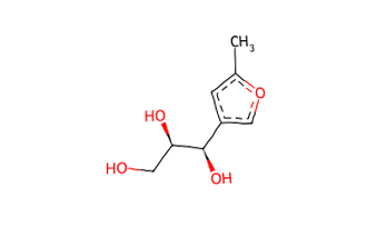 Cc1cc([C@@H](O)[C@H](O)CO)co1